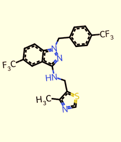 Cc1ncsc1CNc1nn(Cc2ccc(C(F)(F)F)cc2)c2ccc(C(F)(F)F)cc12